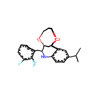 CC(C)c1ccc2c(c1)C1OCCOC1C(c1cccc(F)c1F)N2